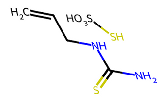 C=CCNC(N)=S.O=S(=O)(O)S